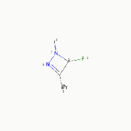 CC(C)C1=NN(C)C1F